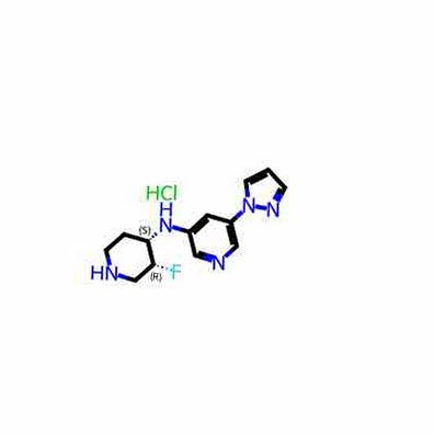 Cl.F[C@@H]1CNCC[C@@H]1Nc1cncc(-n2cccn2)c1